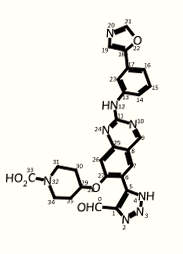 O=Cc1nn[nH]c1-c1cc2cnc(Nc3cccc(-c4cnco4)c3)nc2cc1OC1CCN(C(=O)O)CC1